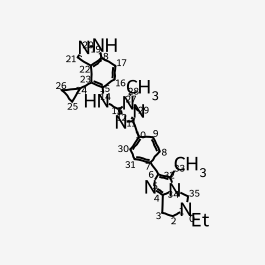 CCN1CCc2nc(-c3ccc(-c4nc(Nc5ccc6[nH]ncc6c5C5CC5)n(C)n4)cc3)c(C)n2C1